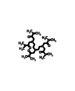 CN(C)C(=O)CN(CCN(CC(=O)N(C)C)CC(=O)N(C)C)CCN(CC(=O)N(C)C)CC(=O)N(C)C